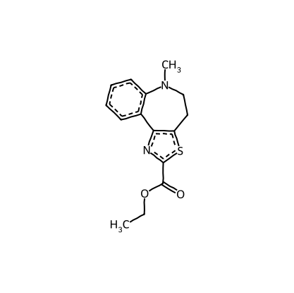 CCOC(=O)c1nc2c(s1)CCN(C)c1ccccc1-2